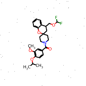 COc1cc(C(=O)N2CCC3(CC2)CC(COC(F)F)c2ccccc2O3)ccc1OC(C)C